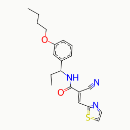 CCCCOc1cccc(C(CC)NC(=O)/C(C#N)=C/c2nccs2)c1